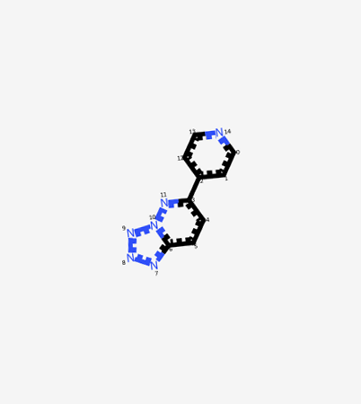 c1cc(-c2ccc3nnnn3n2)ccn1